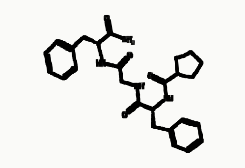 NC(=O)[C@H](Cc1ccccc1)NC(=O)CNC(=O)[C@H](Cc1ccccc1)NC(=O)C1CCCC1